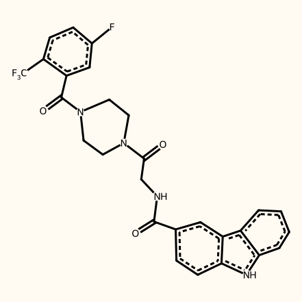 O=C(NCC(=O)N1CCN(C(=O)c2cc(F)ccc2C(F)(F)F)CC1)c1ccc2[nH]c3ccccc3c2c1